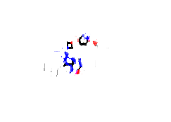 Cc1nc(N[C@H]2C[C@H](Oc3ccc(OCC(F)(F)F)nc3)C2)nc2c1N(C)C(=O)[C@H](C)N2C